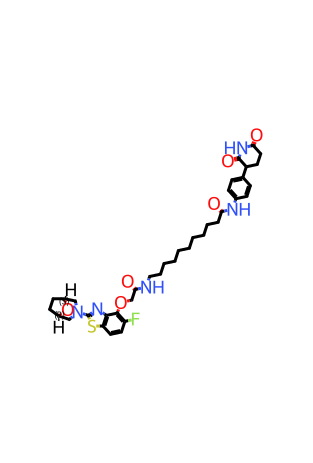 O=C(COc1c(F)ccc2sc(N3C[C@H]4CC[C@@H](C3)O4)nc12)NCCCCCCCCCCC(=O)Nc1ccc(C2CCC(=O)NC2=O)cc1